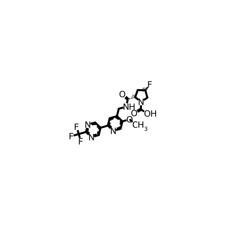 COc1cnc(-c2cnc(C(F)(F)F)nc2)cc1CNC(=O)[C@@H]1C[C@@H](F)CN1C(=O)O